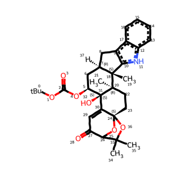 CC(C)(C)OC(=O)O[C@H]1C[C@H]2Cc3c([nH]c4ccccc34)[C@]2(C)[C@@]2(C)CC[C@@]34OC(C(=O)C=C3[C@]12O)C(C)(C)O4